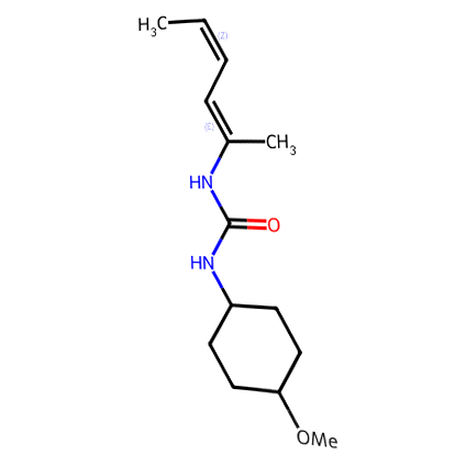 C/C=C\C=C(/C)NC(=O)NC1CCC(OC)CC1